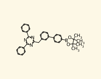 CC1(C)OB(c2ccc(-c3cccc(Cc4nc(-c5ccccc5)nc(-c5ccccc5)n4)c3)cc2)OC1(C)C